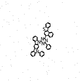 c1ccc(-c2nc(-c3cc4sc5ccccc5c4c4ccccc34)nc(-n3c4ccccc4c4cc5c6ccccc6n(-c6ccccc6)c5cc43)n2)cc1